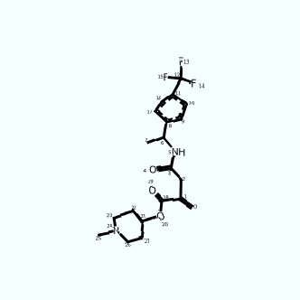 C=C(CC(=O)NC(C)c1ccc(C(F)(F)F)cc1)C(=O)OC1CCN(C)CC1